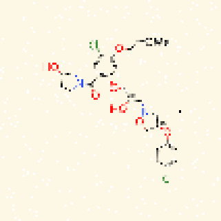 COCCOc1cc(OC[C@H](O)CN2C[C@@H](Oc3ccc(Cl)cc3)CO2)c(C(=O)N2CCC(O)C2)cc1Cl